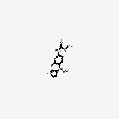 Cc1nc(NC(=O)OC(C)(C)C)ccc1N(C=O)c1ccsc1